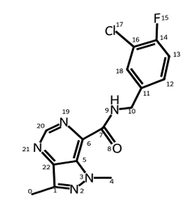 Cc1nn(C)c2c(C(=O)NCc3ccc(F)c(Cl)c3)ncnc12